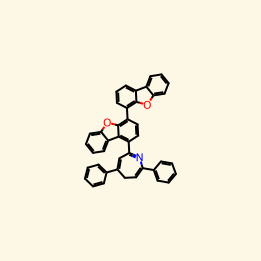 C1=C(c2ccccc2)CC=C(c2ccccc2)N=C1c1ccc(-c2cccc3c2oc2ccccc23)c2oc3ccccc3c12